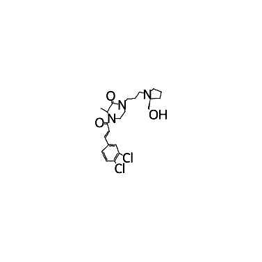 CC1C(=O)N(CCCN2CCC[C@H]2CO)CCN1C(=O)/C=C/c1ccc(Cl)c(Cl)c1